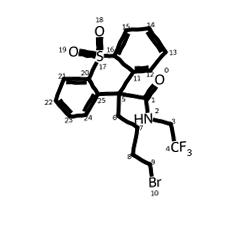 O=C(NCC(F)(F)F)C1(CCCCBr)c2ccccc2S(=O)(=O)c2ccccc21